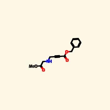 COC(=O)CNCC#CC(=O)OCc1ccccc1